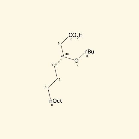 CCCCCCCCCCC[C@H](CC(=O)O)OCCCC